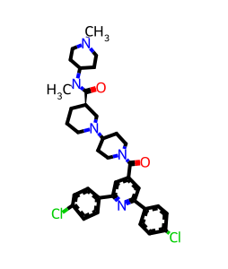 CN1CCC(N(C)C(=O)[C@@H]2CCCN(C3CCN(C(=O)c4cc(-c5ccc(Cl)cc5)nc(-c5ccc(Cl)cc5)c4)CC3)C2)CC1